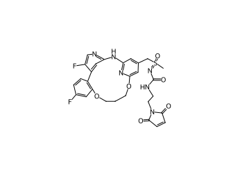 CS(=O)(Cc1cc2nc(c1)OCCCOc1cc(F)ccc1-c1cc(ncc1F)N2)=NC(=O)NCCN1C(=O)C=CC1=O